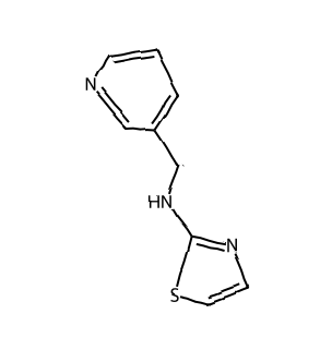 [CH](Nc1nccs1)c1cccnc1